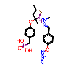 CCCC(C)(Oc1ccc(CP(=O)(O)O)cc1)[PH](=S)N(C)/N=C/c1ccc(ON=[N+]=[N-])cc1